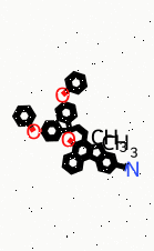 CC1(C)c2cc(C#N)ccc2-c2c1c1c(c3ccccc23)OC(c2ccc(Oc3ccccc3)cc2)(c2ccc(Oc3ccccc3)cc2)C=C1